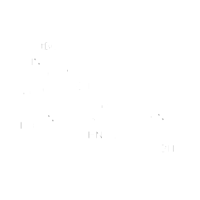 Bc1ccc(NC(=O)c2cn(C)c(C(=O)C(=O)NC(C)(C)C)c2C)cc1C#N